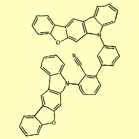 N#Cc1c(-c2cccc(-n3c4ccccc4c4cc5c(cc43)oc3ccccc35)c2)cccc1-n1c2ccccc2c2cc3c(cc21)oc1ccccc13